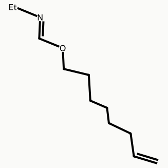 C=CCCCCCCO/C=N/CC